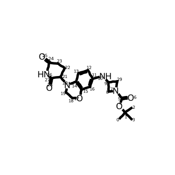 CC(C)(C)OC(=O)N1CC(Nc2ccc3c(c2)OCCN3C2CCC(=O)NC2=O)C1